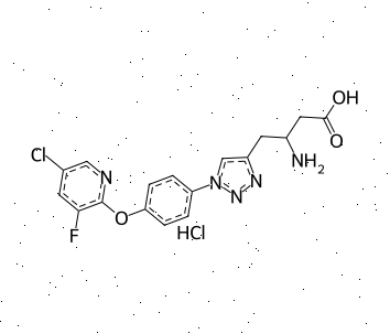 Cl.NC(CC(=O)O)Cc1cn(-c2ccc(Oc3ncc(Cl)cc3F)cc2)nn1